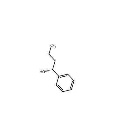 O[C@H](CCC(F)(F)F)c1ccccc1